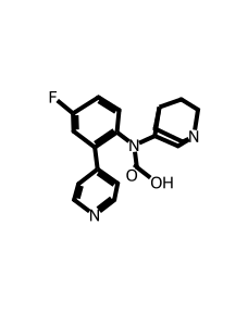 O=C(O)N(c1ccc(F)cc1-c1ccncc1)C1CN2CCC1CC2